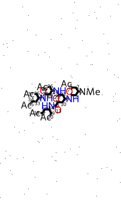 CNC(CCC(C)=O)CC(=O)NC(CCC(=O)NC(CCC(C)=O)CC(C)=O)CC(=O)NC(CC(C)=O)CC(=O)NC(CCC(C)=O)CC(C)=O